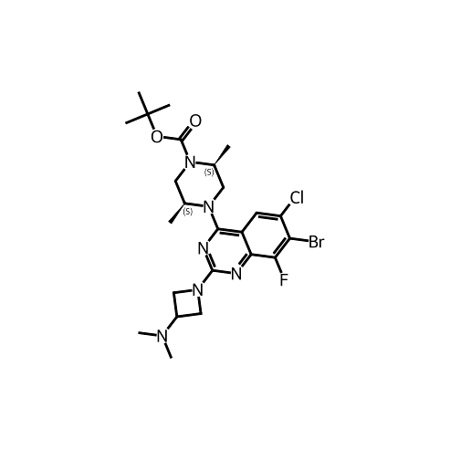 C[C@H]1CN(c2nc(N3CC(N(C)C)C3)nc3c(F)c(Br)c(Cl)cc23)[C@@H](C)CN1C(=O)OC(C)(C)C